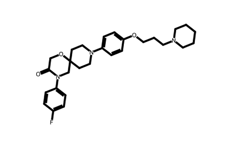 O=C1COC2(CCN(c3ccc(OCCCN4CCCCC4)cc3)CC2)CN1c1ccc(F)cc1